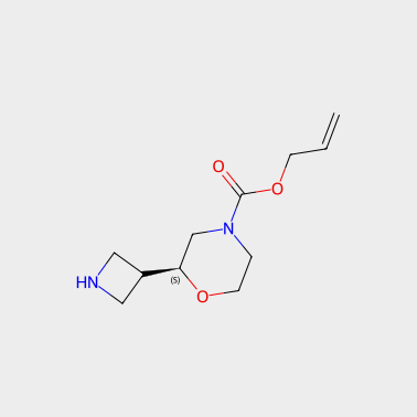 C=CCOC(=O)N1CCO[C@@H](C2CNC2)C1